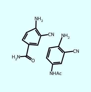 CC(=O)Nc1ccc(N)c(C#N)c1.N#Cc1cc(C(N)=O)ccc1N